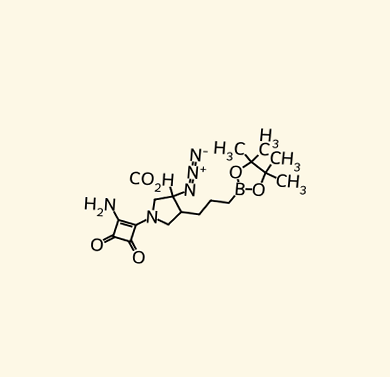 CC1(C)OB(CCCC2CN(c3c(N)c(=O)c3=O)CC2(N=[N+]=[N-])C(=O)O)OC1(C)C